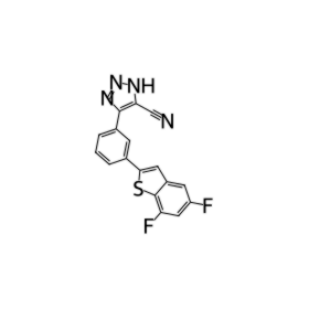 N#Cc1[nH]nnc1-c1cccc(-c2cc3cc(F)cc(F)c3s2)c1